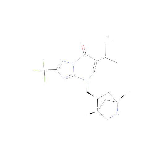 CC(C)c1cn(C[C@H]2C[C@H]3C[C@@H]2CN3)c2nc(C(F)(F)F)nn2c1=O.Cl